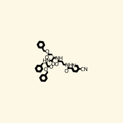 N#Cc1ccc(C(=O)NCCC(=O)N[C@@H](CC(=O)OCc2ccccc2)C(=O)N[C@@H](Cc2ccccc2)C(=O)OCc2ccccc2)nc1